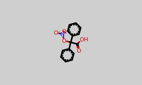 O=C(O)C(O[N+](=O)[O-])(c1ccccc1)c1ccccc1